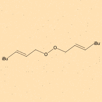 CCC(C)C=CCOOCC=CC(C)CC